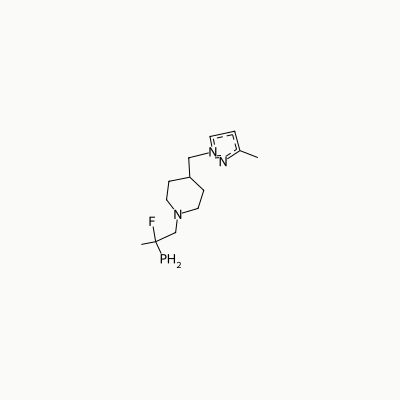 Cc1ccn(CC2CCN(CC(C)(F)P)CC2)n1